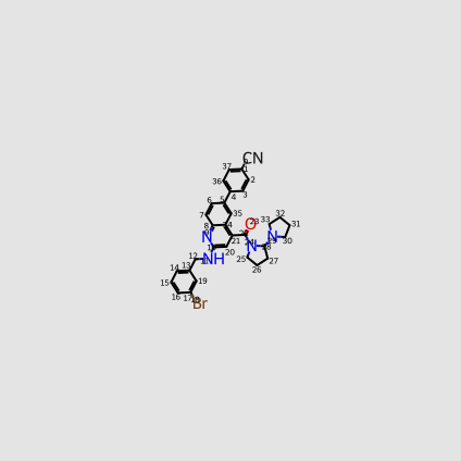 N#Cc1ccc(-c2ccc3nc(NCc4cccc(Br)c4)cc(C(=O)N4CCCC4N4CCCC4)c3c2)cc1